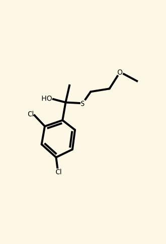 COCCSC(C)(O)c1ccc(Cl)cc1Cl